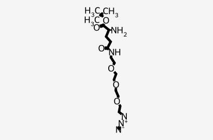 CC(C)(C)OC(=O)[C@@H](N)CCC(=O)NCCOCCOCCOCCN=[N+]=[N-]